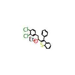 CCOC(Cc1ccc(Cl)c(Cl)c1)c1sc2ccccc2c1-c1ccccc1